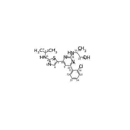 CC(C)Nc1ncc(-c2cc(-c3ccccc3Cl)nc(N[C@H](C)CO)n2)s1